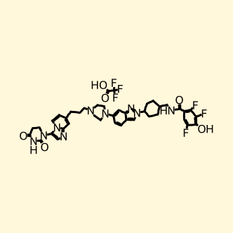 O=C(O)C(F)(F)F.O=C1CCN(c2cnc3cc(CCCN4CCN(c5ccc6cn(C7CCC(CNC(=O)c8cc(F)c(O)c(F)c8F)CC7)nc6c5)CC4)ccn23)C(=O)N1